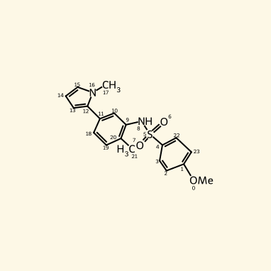 COc1ccc(S(=O)(=O)Nc2cc(-c3cccn3C)ccc2C)cc1